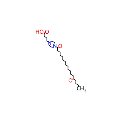 CCCCC(=O)CCCCCCCCCCCCC(=O)N1CCN(CCCC(=O)O)CC1